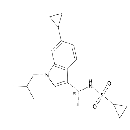 CC(C)Cn1cc([C@@H](C)NS(=O)(=O)C2CC2)c2ccc(C3CC3)cc21